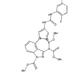 Cc1ccc(F)c(NC(=O)Nc2cnn(-c3cccc4c3c(N(C(=O)OC(C)(C)C)C(=O)OC(C)(C)C)nn4C(=O)OC(C)(C)C)c2)c1